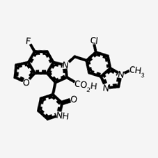 Cn1cnc2cc(Cn3c(C(=O)O)c(-c4ccc[nH]c4=O)c4c5occc5c(F)cc43)c(Cl)cc21